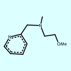 COCCN(C)Cc1ccccn1